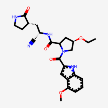 CCO[C@@H]1CC(C(=O)N[C@H](C#N)C[C@@H]2CCNC2=O)N(C(=O)c2cc3c(OC)cccc3[nH]2)C1